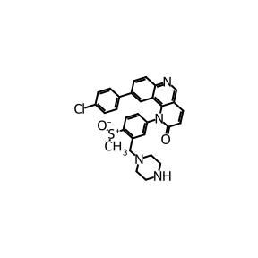 C[S+]([O-])c1ccc(-n2c(=O)ccc3cnc4ccc(-c5ccc(Cl)cc5)cc4c32)cc1CN1CCNCC1